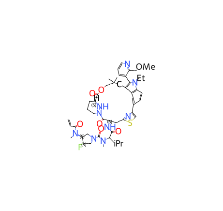 C=CC(=O)N(C)[C@H]1CN(C(=O)N(C)C(C(=O)N[C@H]2Cc3nc(cs3)-c3ccc4c(c3)c(c(-c3cccnc3COC)n4CC)CC(C)(C)COC(=O)[C@@H]3CCCN(N3)C2=O)C(C)C)C[C@H]1F